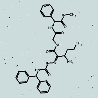 CCCC(N)C(=NNC(=O)NC(c1ccccc1)c1ccccc1)C(=O)NCC(=O)N[C@H](C(=O)NC)c1ccccc1